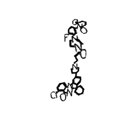 O=C(CCCN1CCC(c2ccc3c(c2)-n2c(nc(=O)c4c(Cl)cccc42)C32CCCCC2)CC1)N1CCN(c2cc(N3C(=O)CCCC3=O)ccc2F)CC1